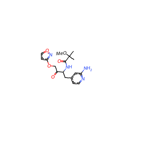 COC(C)(C)C(=O)NC(Cc1ccnc(N)c1)C(=O)COc1ccon1